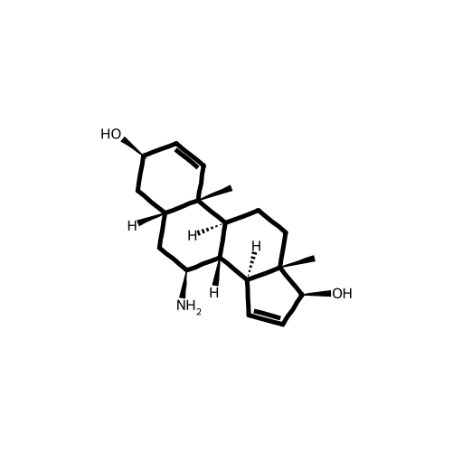 C[C@]12C=C[C@H](O)C[C@H]1C[C@H](N)[C@@H]1[C@@H]2CC[C@]2(C)[C@@H](O)C=C[C@@H]12